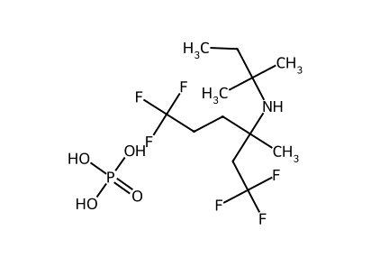 CCC(C)(C)NC(C)(CCC(F)(F)F)CC(F)(F)F.O=P(O)(O)O